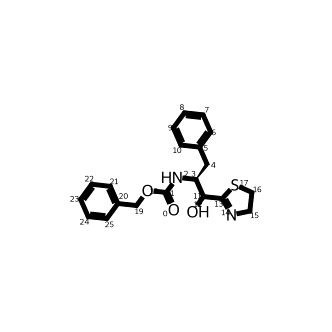 O=C(N[C@@H](Cc1ccccc1)C(O)C1=NCCS1)OCc1ccccc1